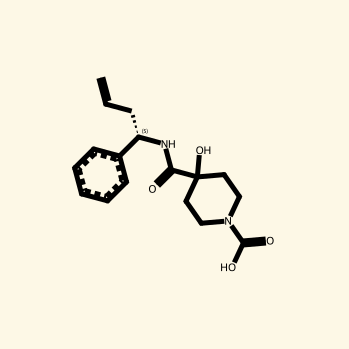 C=CC[C@H](NC(=O)C1(O)CCN(C(=O)O)CC1)c1ccccc1